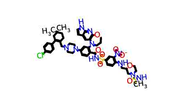 CC1(C)CCC(CN2CCN(c3ccc(C(=O)NS(=O)(=O)c4ccc(NCC5CN(S(C)(=N)=O)CCO5)c([N+](=O)[O-])c4)c(N4CCCOc5nc6[nH]ccc6cc54)c3)CC2)=C(c2ccc(Cl)cc2)C1